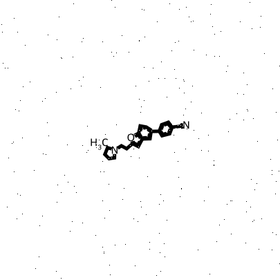 C[C@H]1CCCN1CCc1cc2cc(-c3ccc(C#N)cc3)ccc2o1